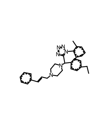 CCc1ccc(C(c2nnnn2-c2c(C)cccc2C)N2CCN(CC=Cc3ccccc3)CC2)cc1